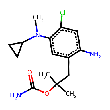 CN(c1cc(CC(C)(C)OC(N)=O)c(N)cc1Cl)C1CC1